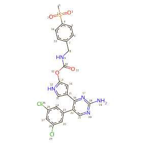 CS(=O)(=O)c1ccc(CNC(=O)Oc2cc(-c3nc(N)ncc3-c3cc(Cl)cc(Cl)c3)c[nH]2)cc1